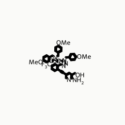 COc1ccc(CN(Cc2ccc(OC)cc2)S(=O)(=O)c2c(C(F)(F)F)ccc(C#Cc3cnc(N)c(CO)c3)c2-c2nnn(Cc3ccc(OC)cc3)n2)cc1